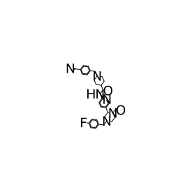 N#Cc1ccc(CN2CCC(C(=O)Nc3ccc(C4CN(Cc5ccc(F)cc5)CCN4C=O)cn3)CC2)cc1